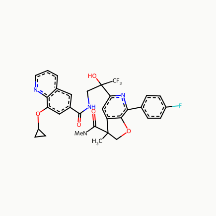 CNC(=O)C1(C)COc2c1cc(C(O)(CNC(=O)c1cc(OC3CC3)c3ncccc3c1)C(F)(F)F)nc2-c1ccc(F)cc1